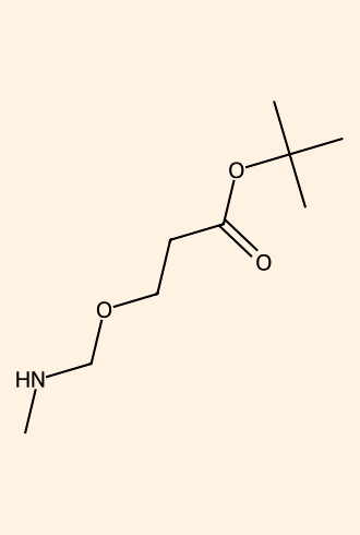 CNCOCCC(=O)OC(C)(C)C